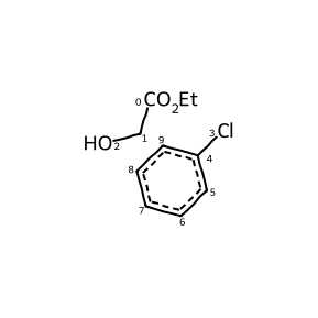 CCOC(=O)CO.Clc1ccccc1